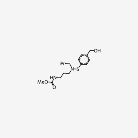 COC(=O)NCCCN(CC(C)C)Sc1ccc(CO)cc1